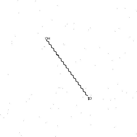 C1CO1.CCCCCCCCCCCCCCCCCCCCCCCCC=CCCCCCCCCO